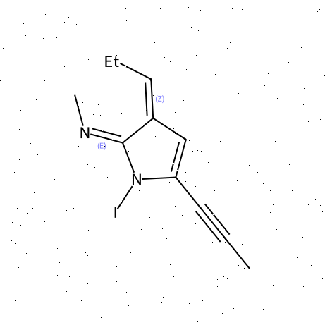 CC#CC1=CC(=C/CC)/C(=N\C)N1I